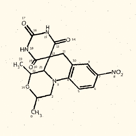 CC1CN2c3ccc([N+](=O)[O-])cc3CC3(C(=O)NC(=O)NC3=O)C2C(C)O1